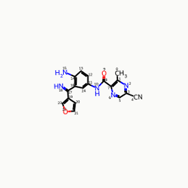 Cc1nc(C#N)cnc1C(=O)Nc1ccc(N)c(C(=N)c2ccoc2)c1